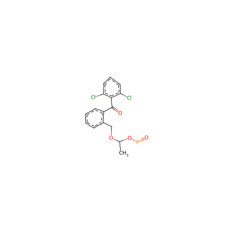 CC(OCc1ccccc1C(=O)c1c(Cl)cccc1Cl)OP=O